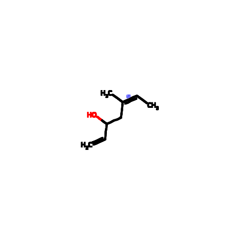 C=CC(O)C/C(C)=C\C